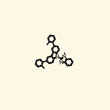 Cc1ccccc1-c1ccc2c(c1)c1cc(-c3ccccc3C)ccc1n2-c1nc2ccccc2n1C